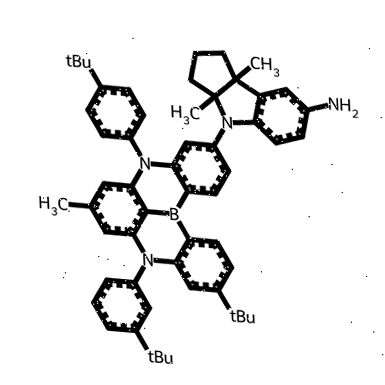 Cc1cc2c3c(c1)N(c1cccc(C(C)(C)C)c1)c1cc(C(C)(C)C)ccc1B3c1ccc(N3c4ccc(N)cc4C4(C)CCCC34C)cc1N2c1ccc(C(C)(C)C)cc1